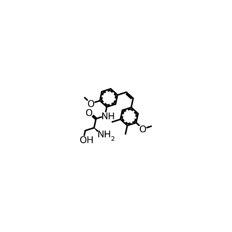 COc1ccc(/C=C\c2cc(C)c(C)c(OC)c2)cc1NC(=O)[C@@H](N)CO